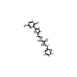 Fc1ccc(F)c(-c2ccc(/C=N/NC(=S)NCc3ccccn3)o2)c1